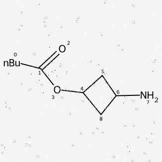 CCCCC(=O)OC1CC(N)C1